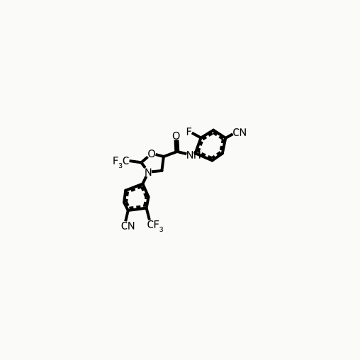 N#Cc1ccc(NC(=O)C2CN(c3ccc(C#N)c(C(F)(F)F)c3)C(C(F)(F)F)O2)c(F)c1